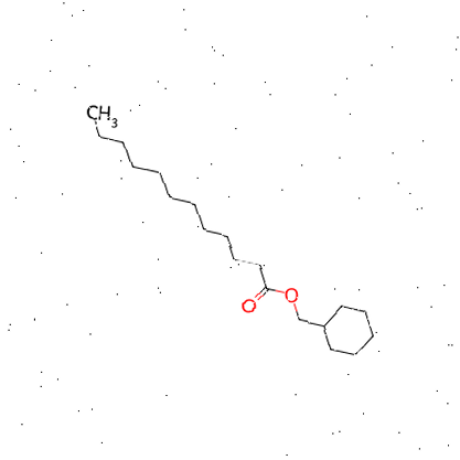 CCCCCCCCCCCC(=O)OCC1CCCCC1